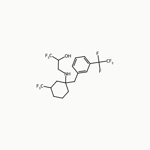 OC(CNC1(Cc2cccc(C(F)(F)C(F)(F)F)c2)CCCC(C(F)(F)F)C1)C(F)(F)F